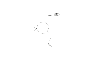 CC1(C)O[C@H](CC#N)C[C@H](CC=O)O1